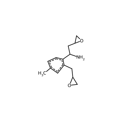 Cc1ccc(C(N)CC2CO2)c(CC2CO2)c1